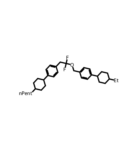 CCCCCC1CCC(c2ccc(CC(F)(F)OCc3ccc(C4CCC(CC)CC4)cc3)cc2)CC1